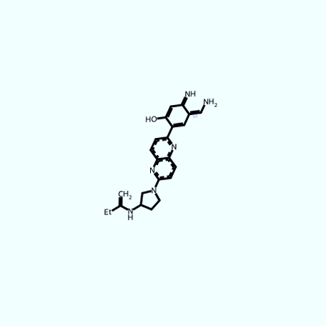 C=C(CC)NC1CCN(c2ccc3nc(C4=C/C(=C/N)C(=N)C=C4O)ccc3n2)C1